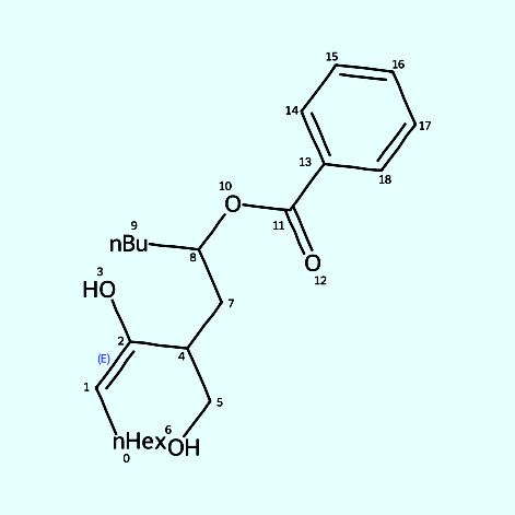 CCCCCC/C=C(/O)C(CO)CC(CCCC)OC(=O)c1ccccc1